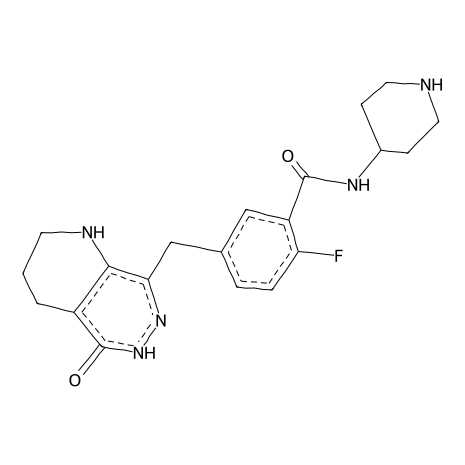 O=C(NC1CCNCC1)c1cc(Cc2n[nH]c(=O)c3c2NCCC3)ccc1F